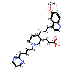 COc1ccc2nccc(CCC[C@@H]3CCN(CCCCc4ncccn4)C[C@@H]3CCC(=O)O)c2c1